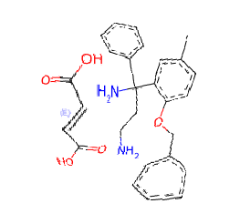 Cc1ccc(OCc2ccccc2)c(C(N)(CCN)c2ccccc2)c1.O=C(O)/C=C/C(=O)O